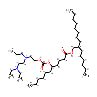 CCCCCCCCC(CCCCCC)COC(=O)CCCC(CCCCCC)OC(=O)OCCN(CCC)CCN(CC)CC